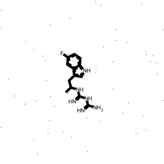 CC(Cc1c[nH]c2ccc(F)cc12)NC(=N)NC(=N)N